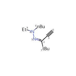 C#C/C(=N\N(CC)CCCC)C(C)(C)C